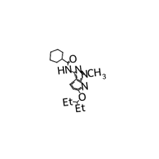 CCC(CC)Oc1ccc2c(NC(=O)C3CCCCC3)nn(C)c2n1